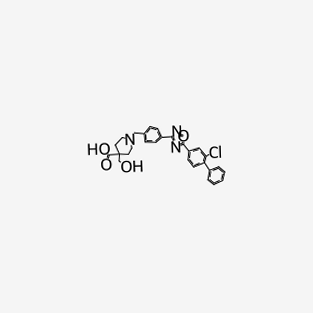 O=C(O)C1(CO)CCN(Cc2ccc(-c3noc(-c4ccc(-c5ccccc5)c(Cl)c4)n3)cc2)CC1